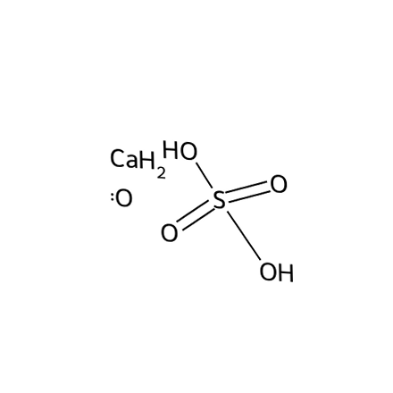 O=S(=O)(O)O.[CaH2].[O]